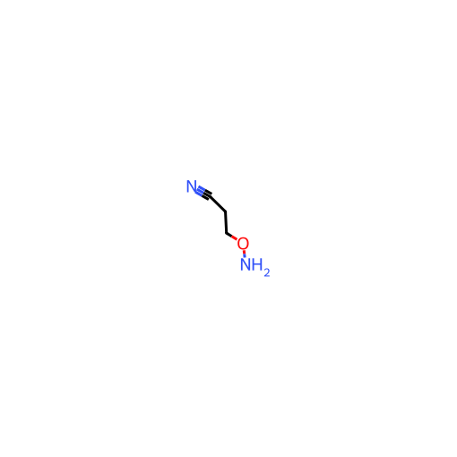 N#CCCON